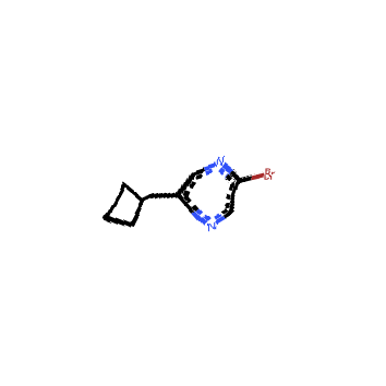 Brc1cnc(C2CCC2)cn1